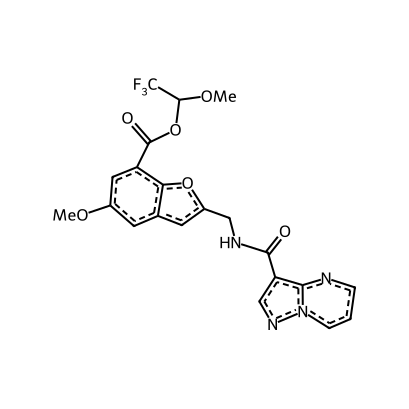 COc1cc(C(=O)OC(OC)C(F)(F)F)c2oc(CNC(=O)c3cnn4cccnc34)cc2c1